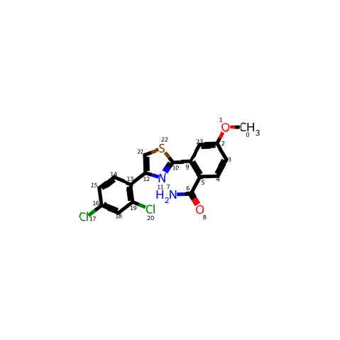 COc1ccc(C(N)=O)c(-c2nc(-c3ccc(Cl)cc3Cl)cs2)c1